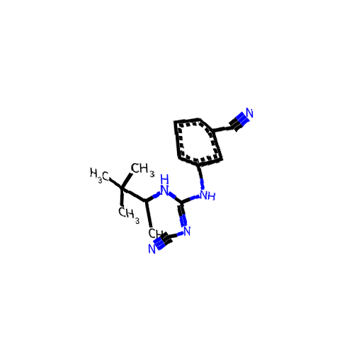 CC(N/C(=N\C#N)Nc1cccc(C#N)c1)C(C)(C)C